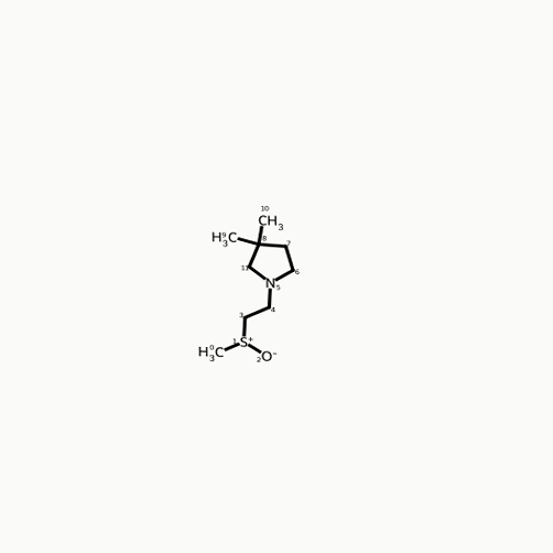 C[S+]([O-])CCN1CCC(C)(C)C1